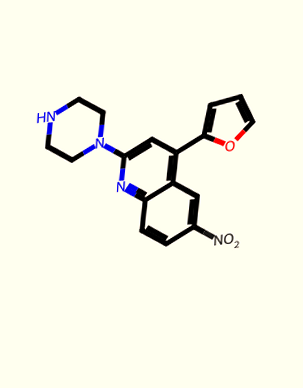 O=[N+]([O-])c1ccc2nc(N3CCNCC3)cc(-c3ccco3)c2c1